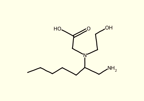 CCCCCC(CN)N(CCO)CC(=O)O